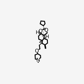 C=C1CC[C@@H]2[C@]3(C)CO[C@@H](C4CCCC4)O[C@@H]3CC[C@@]2(C)[C@@H]1CCOC1CCN(C)CC1